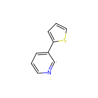 [c]1ncccc1-c1cccs1